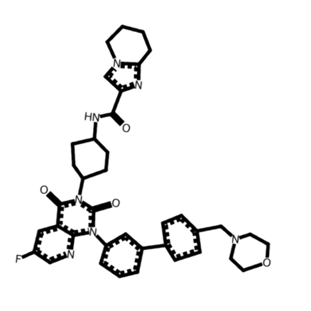 O=C(NC1CCC(n2c(=O)c3cc(F)cnc3n(-c3cccc(-c4ccc(CN5CCOCC5)cc4)c3)c2=O)CC1)c1cn2c(n1)CCCC2